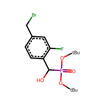 CC(C)(C)OP(=O)(OC(C)(C)C)C(O)c1ccc(CBr)cc1F